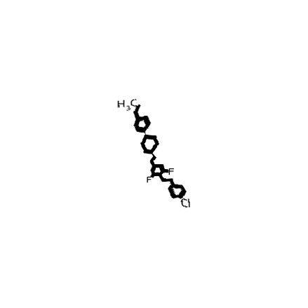 CCCc1ccc([C@H]2CC[C@H](CCc3cc(F)c(CCc4ccc(Cl)cc4)c(F)c3)CC2)cc1